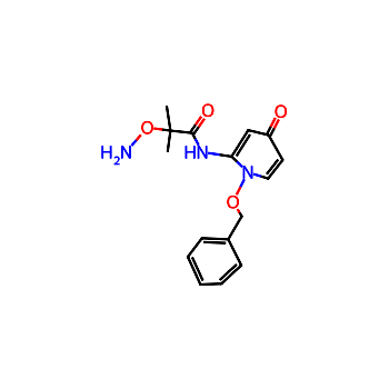 CC(C)(ON)C(=O)Nc1cc(=O)ccn1OCc1ccccc1